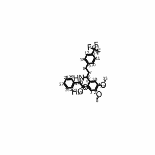 COc1ccc(C(CCc2ccc(C(F)(F)F)cc2)N[C@H](C(=O)O)c2ccccc2)cc1OC